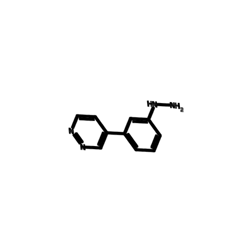 NNc1cccc(-c2ccnnc2)c1